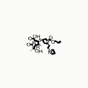 C=CCOC(=O)N1C[C@@H](SC2=C(C(=O)O)N3C(=O)[C@H]([C@@H](C)O)[C@H]3[C@H]2C)C[C@@H]1CCn1cccn1